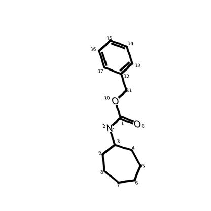 O=C([N]C1CCCCCC1)OCc1ccccc1